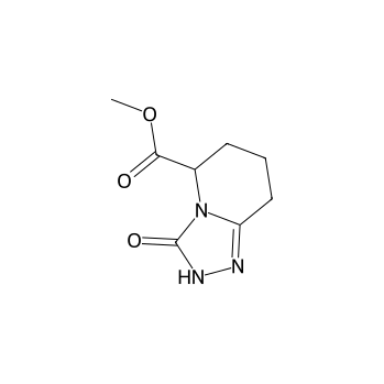 COC(=O)C1CCCc2n[nH]c(=O)n21